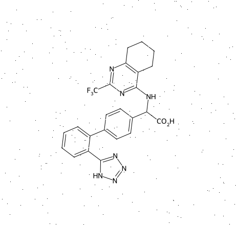 O=C(O)C(Nc1nc(C(F)(F)F)nc2c1CCCC2)c1ccc(-c2ccccc2-c2nnn[nH]2)cc1